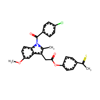 COc1ccc2c(c1)c(CC(=O)Oc1ccc(C(C)=S)cc1)c(C)n2C(=O)c1ccc(Cl)cc1